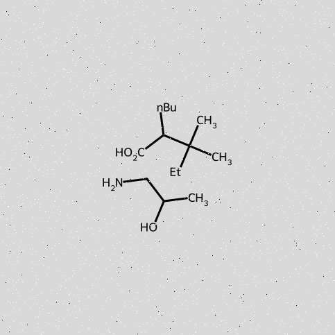 CC(O)CN.CCCCC(C(=O)O)C(C)(C)CC